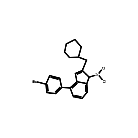 CCC(C)c1ccc(-c2cccc3c2C=C(CC2CCCCC2)[CH]3[Zr]([Cl])[Cl])cc1